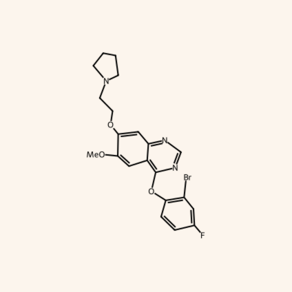 COc1cc2c(Oc3ccc(F)cc3Br)ncnc2cc1OCCN1CCCC1